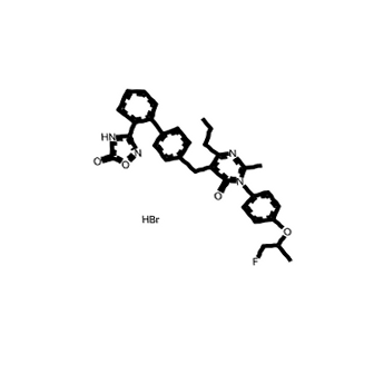 Br.CCCc1nc(C)n(-c2ccc(OC(C)CF)cc2)c(=O)c1Cc1ccc(-c2ccccc2-c2noc(=O)[nH]2)cc1